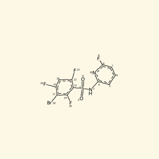 O=S(=O)(Nc1cccc(F)n1)c1c(F)cc(F)c(Br)c1F